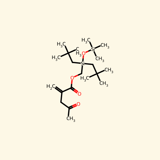 C=C(CC(C)=O)C(=O)OC[Si](CC(C)(C)C)(CC(C)(C)C)O[Si](C)(C)C